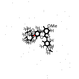 [2H]c1c([2H])c(-c2sc3c([2H])c(OC)c(C)c([2H])c3c2Oc2c([2H])c([2H])c(OC([2H])([2H])C([2H])(C)N3C([2H])(C)C([2H])([2H])C([2H])([2H])C([2H])([2H])C3(C)C)c(C)c2C)c(C)c([2H])c1OC([2H])([2H])C